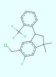 CC1(C)CC(c2ccccc2C(F)(F)F)c2cc(CCl)c(F)cc21